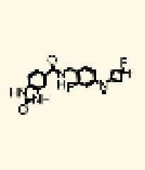 CN(c1ccc(CNC(=O)c2ccc3[nH]c(=O)[nH]c3c2)c(F)c1)C1CC(F)(F)C1